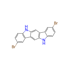 Brc1ccc2[nH]c3cc4c(cc3c2c1)[nH]c1ccc(Br)cc14